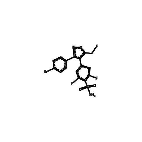 NS(=O)(=O)c1c(F)cc(-c2c(-c3ccc(Br)cc3)noc2CF)cc1F